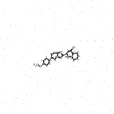 O=c1cc(-c2nc3ccc(-c4ccc(OC(F)(F)F)cc4)cn3n2)[nH]c2ccccc12